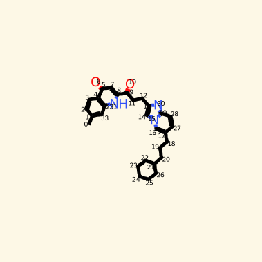 Cc1ccc2c(=O)cc(C(=O)CCc3cn4cc(CCCC5CCCCC5)ccc4n3)[nH]c2c1